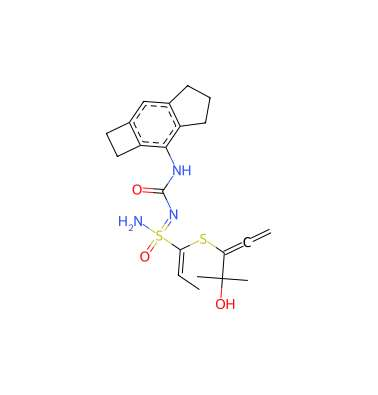 C=C=C(S/C(=C\C)S(N)(=O)=NC(=O)Nc1c2c(cc3c1CC3)CCC2)C(C)(C)O